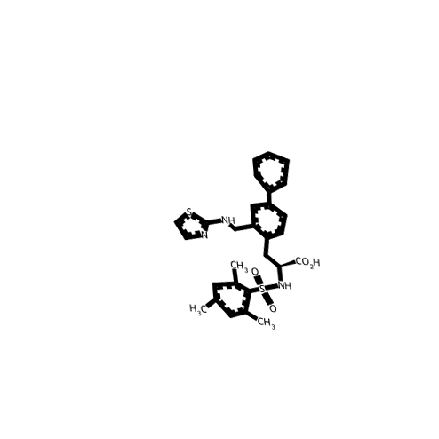 Cc1cc(C)c(S(=O)(=O)N[C@@H](Cc2ccc(-c3ccccc3)cc2CNc2nccs2)C(=O)O)c(C)c1